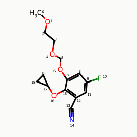 COCCOCOc1cc(F)cc(C#N)c1OC1CC1